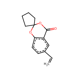 C=Cc1ccc2c(c1)C(=O)OC1(CCCC1)O2